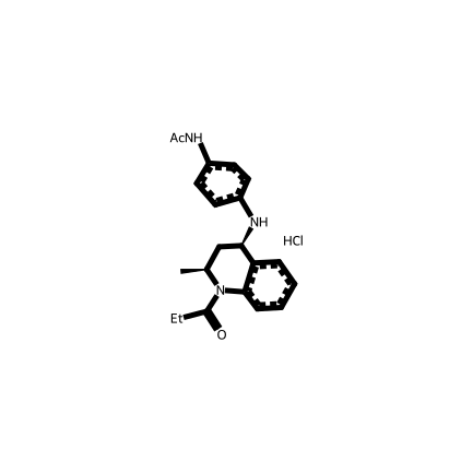 CCC(=O)N1c2ccccc2[C@H](Nc2ccc(NC(C)=O)cc2)C[C@@H]1C.Cl